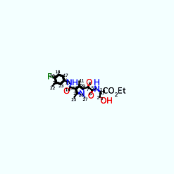 CCOC(=O)[C@H](CO)NC(=O)C(=O)c1c(C)c(C(=O)Nc2ccc(F)c(C)c2)c(C)n1C